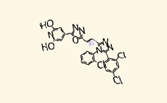 Oc1cc(-c2nnc(/C=C/c3nnc(-c4ccc(Cl)cc4Cl)n3-c3ccccc3Cl)o2)cc(O)n1